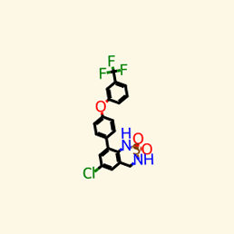 O=S1(=O)NCc2cc(Cl)cc(-c3ccc(Oc4cccc(C(F)(F)F)c4)cc3)c2N1